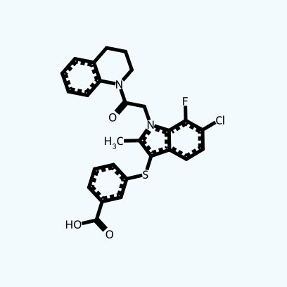 Cc1c(Sc2cccc(C(=O)O)c2)c2ccc(Cl)c(F)c2n1CC(=O)N1CCCc2ccccc21